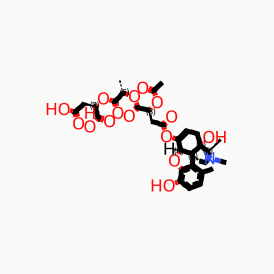 CC(=O)O[C@@H](CC(=O)OC1=CC[C@@]2(O)[C@@H](C)N(C)CC[C@@]23c2c(C)ccc(O)c2O[C@@H]13)C(=O)O[C@@H](C)C(=O)O[C@H](CC(=O)O)C(=O)O